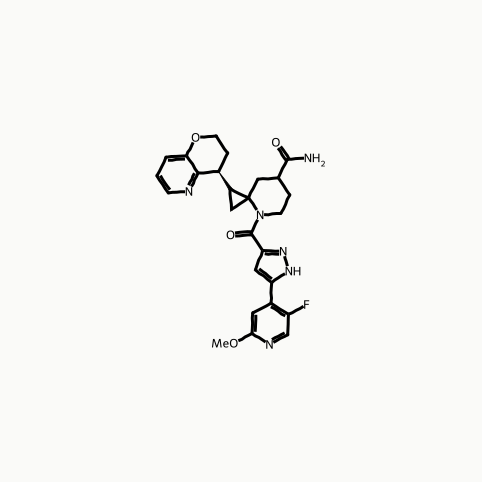 COc1cc(-c2cc(C(=O)N3CCC(C(N)=O)CC34CC4[C@@H]3CCOc4cccnc43)n[nH]2)c(F)cn1